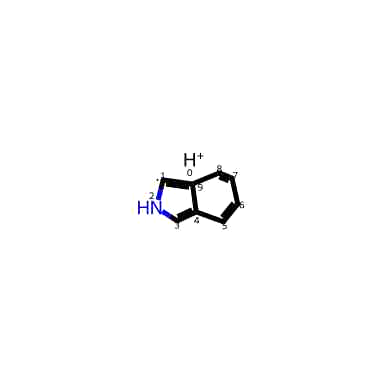 [H+].[c]1[nH]cc2ccccc12